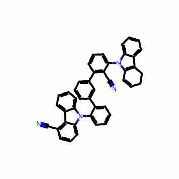 N#Cc1c(-c2cccc(-c3ccccc3-n3c4ccccc4c4c(C#N)cccc43)c2)cccc1-n1c2c(c3ccccc31)CCC=C2